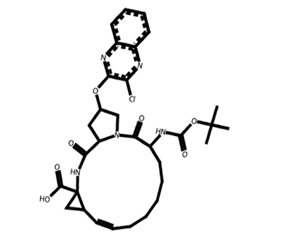 CC(C)(C)OC(=O)NC1CCCCCC=CC2CC2(C(=O)O)NC(=O)C2CC(Oc3nc4ccccc4nc3Cl)CN2C1=O